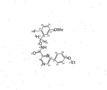 [2H]C([2H])(ONC(=O)c1cncc(-c2ccc(OCC)cc2)n1)c1cc(OC)ccc1F